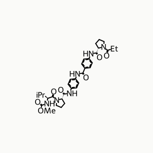 CCC(=O)N1CCC[C@H]1C(=O)Nc1ccc(C(=O)Nc2ccc(NC(=O)[C@@H]3CCCN3C(=O)[C@@H](NC(=O)OC)C(C)C)cc2)cc1